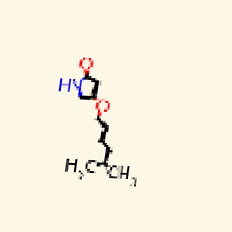 CC(C)CCCCOC1=CC(=O)NC1